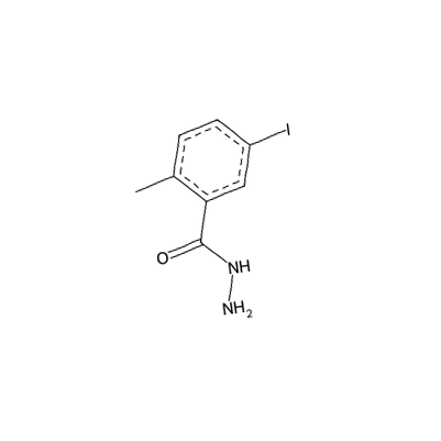 Cc1ccc(I)cc1C(=O)NN